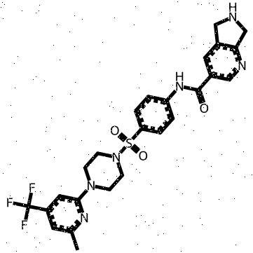 Cc1cc(C(F)(F)F)cc(N2CCN(S(=O)(=O)c3ccc(NC(=O)c4cnc5c(c4)CNC5)cc3)CC2)n1